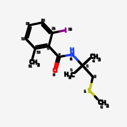 CSCC(C)(C)NC(=O)c1c(C)cccc1I